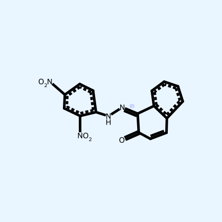 O=C1C=Cc2ccccc2/C1=N/Nc1ccc([N+](=O)[O-])cc1[N+](=O)[O-]